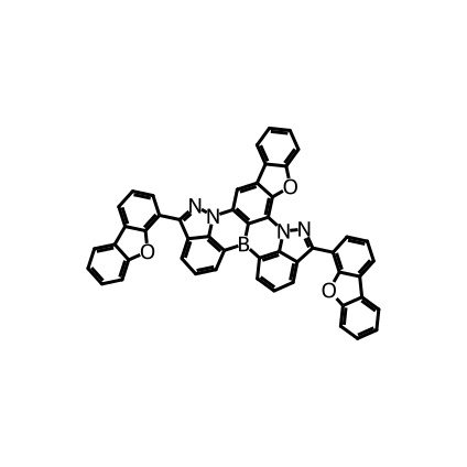 c1ccc2c(c1)oc1c(-c3nn4c5c(cccc35)B3c5c-4cc4c(oc6ccccc64)c5-n4nc(-c5cccc6c5oc5ccccc56)c5cccc3c54)cccc12